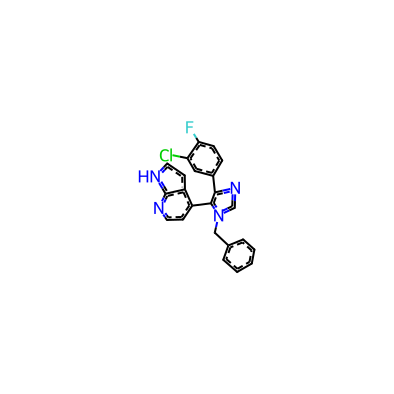 Fc1ccc(-c2ncn(Cc3ccccc3)c2-c2ccnc3[nH]ccc23)cc1Cl